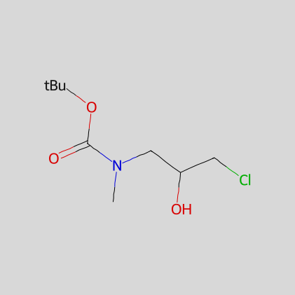 CN(CC(O)CCl)C(=O)OC(C)(C)C